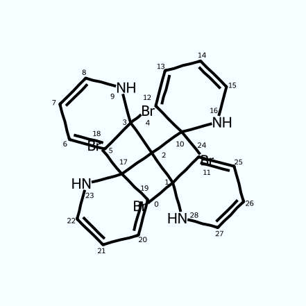 BrC1(C(C2(Br)C=CC=CN2)(C2(Br)C=CC=CN2)C2(Br)C=CC=CN2)C=CC=CN1